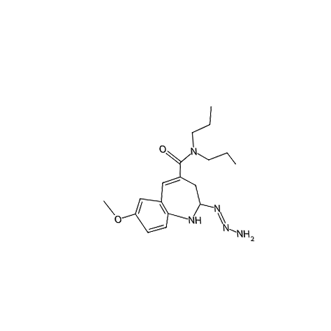 CCCN(CCC)C(=O)C1=Cc2cc(OC)ccc2NC(N=NN)C1